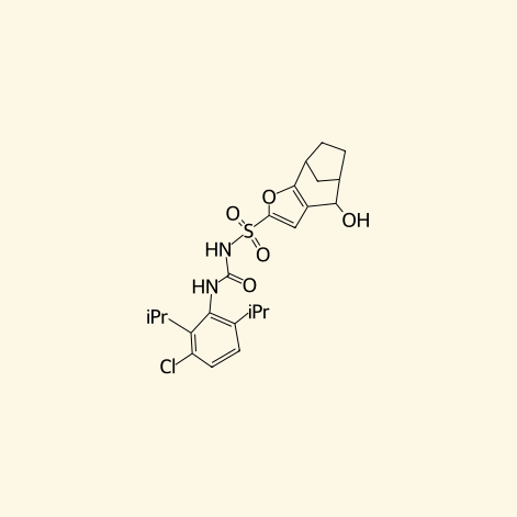 CC(C)c1ccc(Cl)c(C(C)C)c1NC(=O)NS(=O)(=O)c1cc2c(o1)C1CCC(C1)C2O